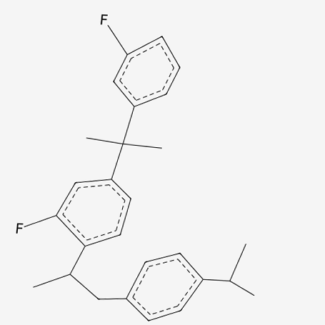 CC(C)c1ccc(CC(C)c2ccc(C(C)(C)c3cccc(F)c3)cc2F)cc1